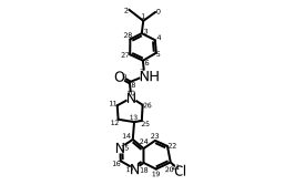 CC(C)c1ccc(NC(=O)N2CCC(c3ncnc4cc(Cl)ccc34)CC2)cc1